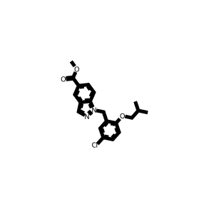 COC(=O)c1ccc2c(cnn2Cc2cc(Cl)ccc2OCC(C)C)c1